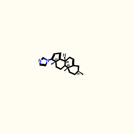 C[C@H]1CC[C@@]2(C)C(=CC[C@H]3C4=CC=C(n5ccnc5)[C@@]4(C)CCC32)C1